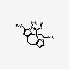 N=N/C(=N\N)C1(CCN)c2sccc2CCc2cc(C(=O)O)sc21